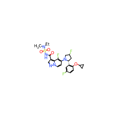 CCN(C)S(=O)(=O)NC(=O)c1cnn2ccc(N3C[C@@H](F)C[C@@H]3c3cc(F)ccc3OC3CC3)c(F)c12